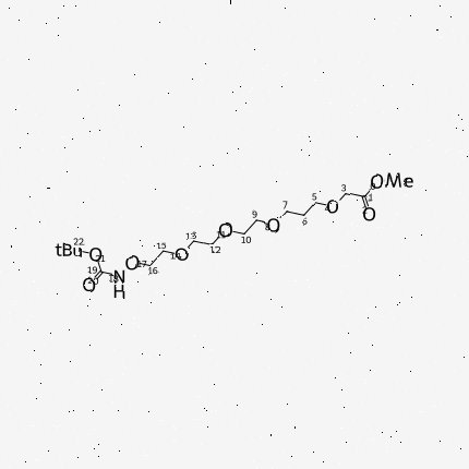 COC(=O)COCCCOCCOCCOCCONC(=O)OC(C)(C)C